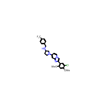 COc1cc(OC)c(-c2cn3ccc(N4CCC(NCc5ccc(C(F)(F)F)cc5)C4)cc3n2)cc1Cl